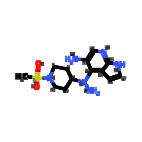 CS(=O)(=O)N1CCC(N(N)c2c(N)cnc3[nH]ccc23)CC1